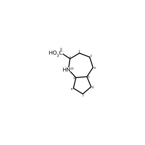 O=C(O)C1CCCC2CCCC2N1